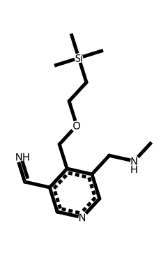 CNCc1cncc(C=N)c1COCC[Si](C)(C)C